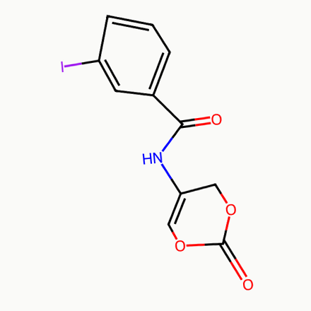 O=C1OC=C(NC(=O)c2cccc(I)c2)CO1